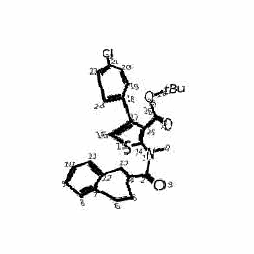 CN(C(=O)C1CCc2ccccc2C1)c1scc(-c2ccc(Cl)cc2)c1C(=O)OC(C)(C)C